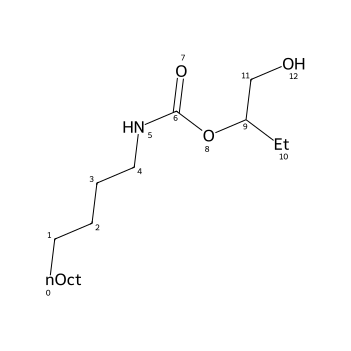 CCCCCCCCCCCCNC(=O)OC(CC)CO